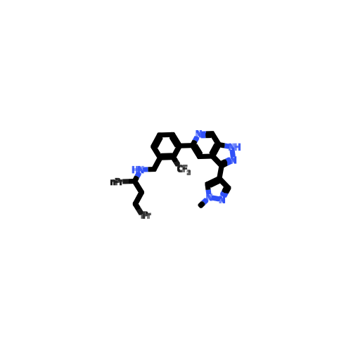 CCCC(CCC(C)C)NCc1cccc(-c2cc3c(-c4cnn(C)c4)n[nH]c3cn2)c1C(F)(F)F